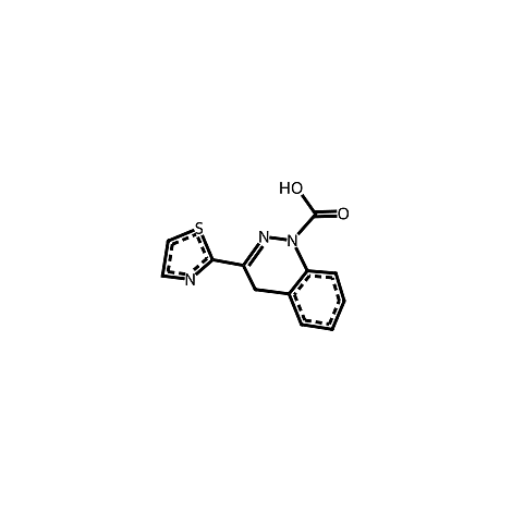 O=C(O)N1N=C(c2nccs2)Cc2ccccc21